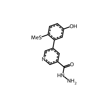 CSc1ccc(O)cc1-c1cncc(C(=O)NN)c1